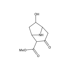 COC(=O)C1C(=O)CC2NC1CC2O